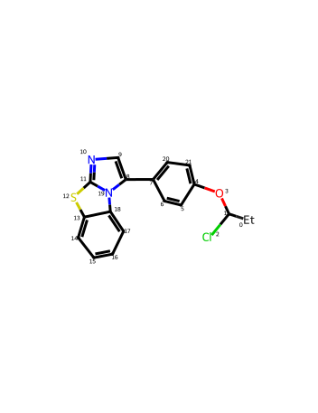 CCC(Cl)Oc1ccc(-c2cnc3sc4ccccc4n23)cc1